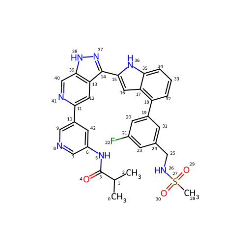 CC(C)C(=O)Nc1cncc(-c2cc3c(-c4cc5c(-c6cc(F)cc(CNS(C)(=O)=O)c6)cccc5[nH]4)n[nH]c3cn2)c1